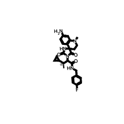 C[C@@H](C1CC1)C(C(=O)NCc1ccc(F)cc1)N1C(=O)NC2(CCN(C)c3cc(N)ccc32)C1=O